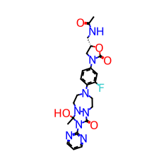 CC(=O)NC[C@H]1CN(c2ccc(N3CCN4C(=O)N(c5ncccn5)C(C)(O)N4CC3)c(F)c2)C(=O)O1